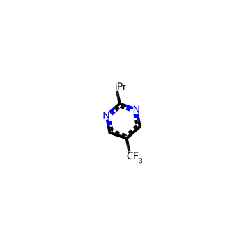 CC(C)c1ncc(C(F)(F)F)cn1